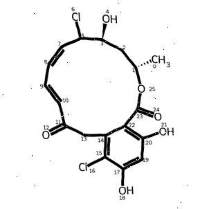 C[C@H]1C[C@H](O)C(Cl)/C=C\C=C\C(=O)Cc2c(Cl)c(O)cc(O)c2C(=O)O1